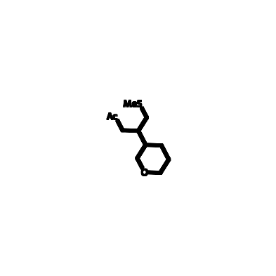 CSCC(CC(C)=O)C1CCCOC1